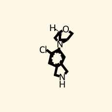 Clc1cc2c(cc1N1C[C@@H]3CC1CO3)CNC2